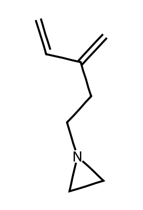 C=CC(=C)CCN1CC1